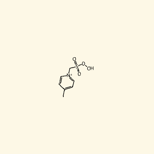 Cc1cc[n+](CS(=O)(=O)OO)cc1